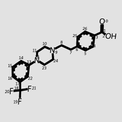 O=C(O)c1ccc(CCN2CCN(c3cccc(C(F)(F)F)c3)CC2)cc1